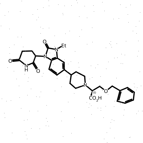 CCn1c(=O)n(C2CCC(=O)NC2=O)c2ccc(C3CCN([C@@H](COCc4ccccc4)C(=O)O)CC3)cc21